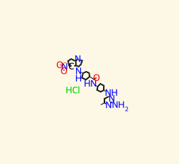 Cc1cc(Nc2ccc(NC(=O)c3ccc(Nc4ccnc5ccc([N+](=O)[O-])cc45)cc3)cc2)nc(N)n1.Cl